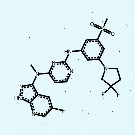 CN(c1ccnc(Nc2cc(N3CCC(F)(F)C3)cc(S(C)(=O)=O)c2)n1)c1n[nH]c2ncc(F)cc12